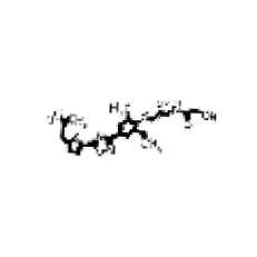 CCc1cc(-c2noc(-c3ccc(CC(C)C)s3)n2)cc(C)c1OC[C@H](O)CNC(=O)CO